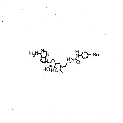 CC1O[C@@H]2C(CN1CCCNC(=O)Nc1ccc(C(C)(C)C)cc1)OC(n1ccc3c(N)ncnc31)[C@@H]2O